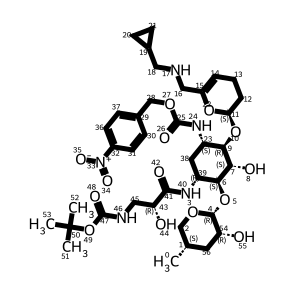 C[C@@H]1CO[C@H](O[C@@H]2[C@@H](O)[C@H](O[C@@H]3CCC=C(CNCC4CC4)O3)[C@@H](NC(=O)OCc3ccc([N+](=O)[O-])cc3)C[C@H]2NC(=O)[C@H](O)CNC(=O)OC(C)(C)C)[C@H](O)C1